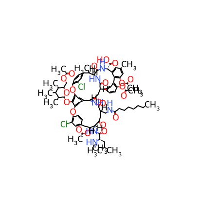 CCCCCCCC(=O)NC[C@@H]1CC(=O)[C@H](NC(=O)[C@@H](CC(C)C)NC)[C@H](OC(C)=O)c2ccc(c(Cl)c2)Oc2cc3cc(c2OC2OC(COC(C)=O)C(C)C(C)C2C)Oc2ccc(cc2Cl)[C@@H](C)[C@@H]2NC(=O)[C@H](CC(=O)[C@@H]3NC1=O)c1ccc(OC(C)=O)c(c1)-c1c(OC(C)=O)cc(C)cc1[C@@H](C(=O)O)NC2=O